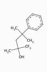 [CH2]C(O)(CC(C)(C)c1ccccc1)C(F)(F)F